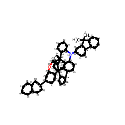 CC1(C)c2ccccc2-c2ccc(N(c3ccc4c(c3)C3(c5ccccc5Oc5cc(-c6ccc7ccccc7c6)ccc53)c3ccccc3-4)c3ccccc3-c3ccccc3)cc21